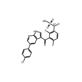 CCCCS(=O)(=O)[NH+]([O-])c1ccc(F)c(C(=O)c2c[nH]c3ncc(-c4ccc(Cl)cc4)cc23)c1F